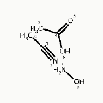 CC#N.CC(=O)O.NO